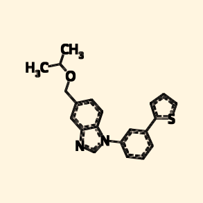 CC(C)OCc1ccc2c(c1)ncn2-c1cccc(-c2cccs2)c1